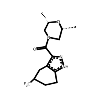 C[C@@H]1CN(C(=O)c2n[nH]c3c2CC(C(F)(F)F)CC3)C[C@H](C)O1